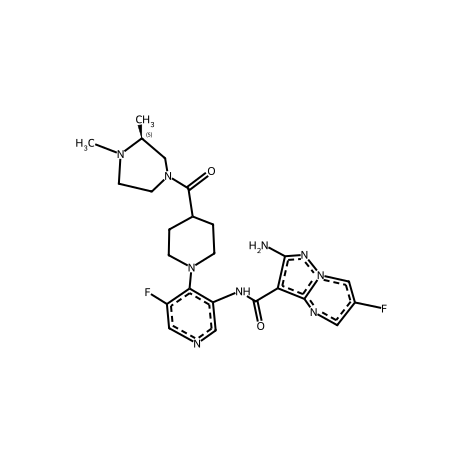 C[C@H]1CN(C(=O)C2CCN(c3c(F)cncc3NC(=O)c3c(N)nn4cc(F)cnc34)CC2)CCN1C